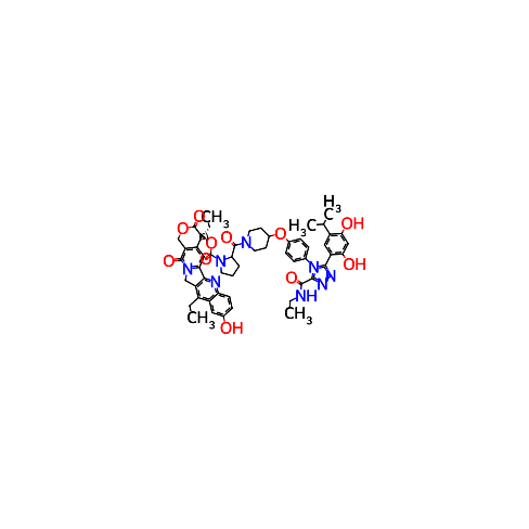 CCNC(=O)c1nnc(-c2cc(C(C)C)c(O)cc2O)n1-c1ccc(OC2CCN(C(=O)C3CCCN3C(=O)O[C@]3(CC)C(=O)OCc4c3cc3n(c4=O)Cc4c-3nc3ccc(O)cc3c4CC)CC2)cc1